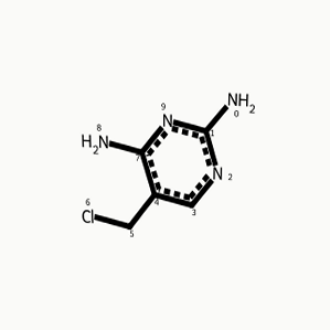 Nc1ncc(CCl)c(N)n1